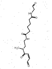 CN(CCNC(=O)CCCCC(=O)NCC=O)C(=O)/C=C\C=O